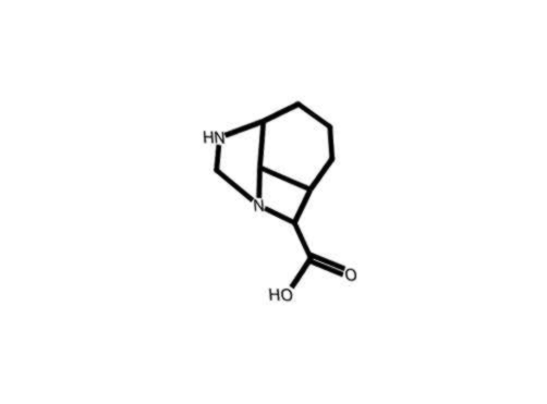 O=C(O)C1C2CCCC3NCN1C32